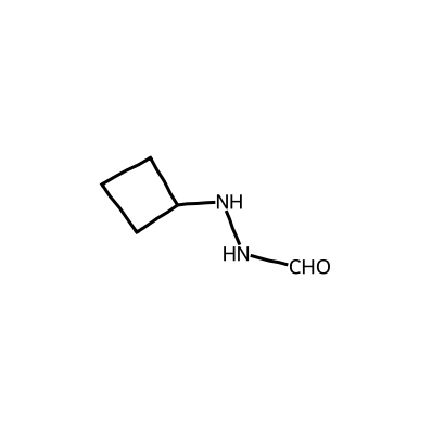 O=CNNC1CCC1